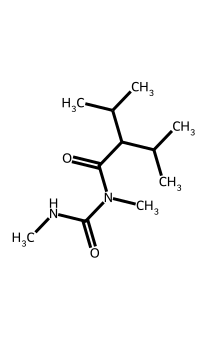 CNC(=O)N(C)C(=O)C(C(C)C)C(C)C